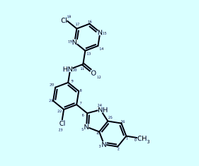 Cc1cnc2nc(-c3cc(NC(=O)c4cncc(Cl)n4)ccc3Cl)[nH]c2c1